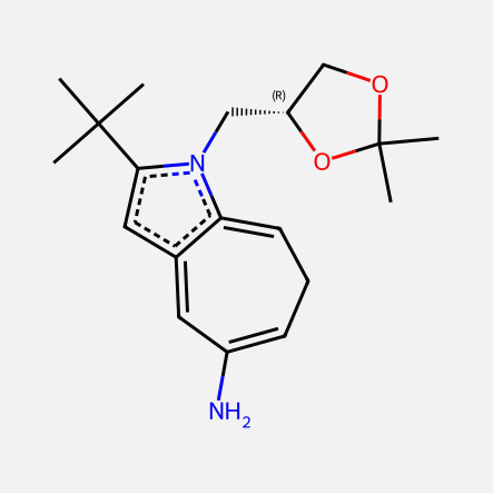 CC1(C)OC[C@@H](Cn2c(C(C)(C)C)cc3c2=CCC=C(N)C=3)O1